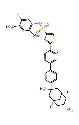 COc1cc(C(=O)O)c(F)cc1NS(=O)(=O)c1csc(-c2ccc(-c3ccc(C4(C)C[C@@H]5C[C@@H](C)C[C@@H](C5)C4)cc3)cc2F)n1